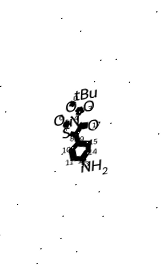 CC(C)(C)OC(=O)N1C(=O)SC(c2ccc(N)cc2)C1=O